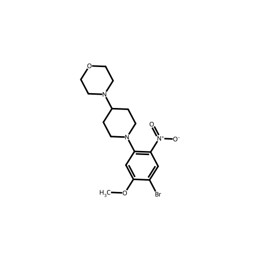 COc1cc(N2CCC(N3CCOCC3)CC2)c([N+](=O)[O-])cc1Br